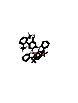 CC(C)(C)c1ccc2c3ccccc3n(-c3cc(C#N)c(-c4c(C(F)(F)F)cccc4C(F)(F)F)cc3-n3c4ccccc4c4ccc(C(C)(C)C)cc43)c2c1